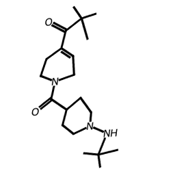 CC(C)(C)NN1CCC(C(=O)N2CC=C(C(=O)C(C)(C)C)CC2)CC1